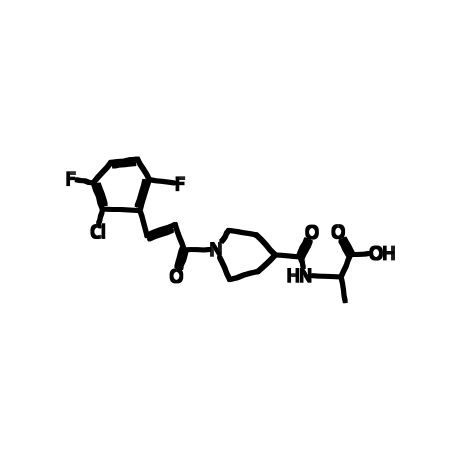 CC(NC(=O)C1CCN(C(=O)C=Cc2c(F)ccc(F)c2Cl)CC1)C(=O)O